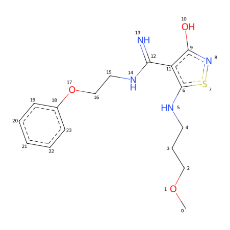 COCCCNc1snc(O)c1C(=N)NCCOc1ccccc1